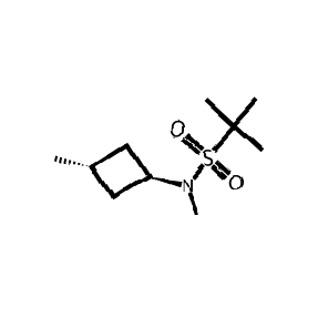 CN([C@H]1C[C@H](C)C1)S(=O)(=O)C(C)(C)C